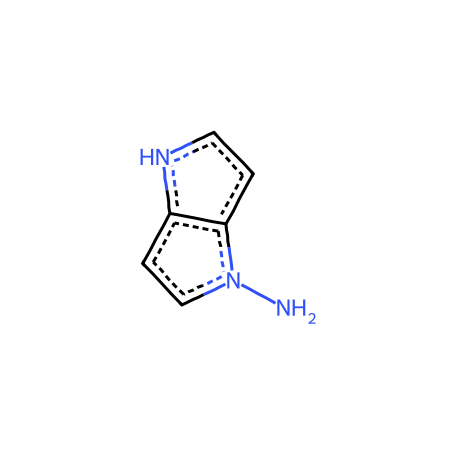 Nn1ccc2[nH]ccc21